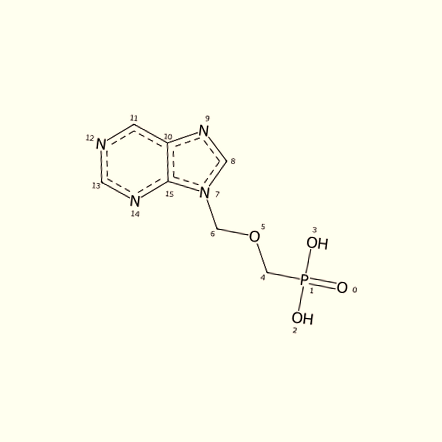 O=P(O)(O)COCn1cnc2cncnc21